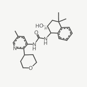 Cc1cnc(C2CCOCC2)c(NC(=O)NC2c3ccccc3C(C)(C)C[C@H]2O)c1